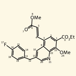 CCOC(=O)c1cc(C=CC(=O)OC)c2cc(Cc3ccc(F)cc3)cnc2c1OC